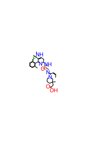 C/C=C\C(=N/C[S+]([O-])NC1CC=C(C(C)(F)NC)C(c2c(C)cccc2C)=N1)N1CCCC(C)(CC(=O)O)C1